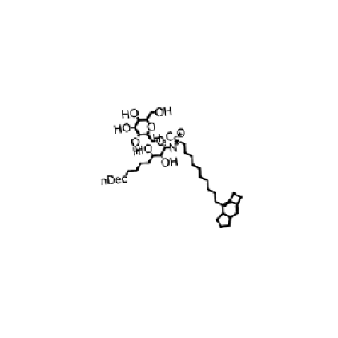 CCCCCCCCCCCCCC[C@@H](O)[C@@H](O)[C@@H](N=S(C)(=O)CCCCCCCCCCC1=C2CCC2=CC2CCCC12)OCC1OC(CO)C(O)C(O)C1O